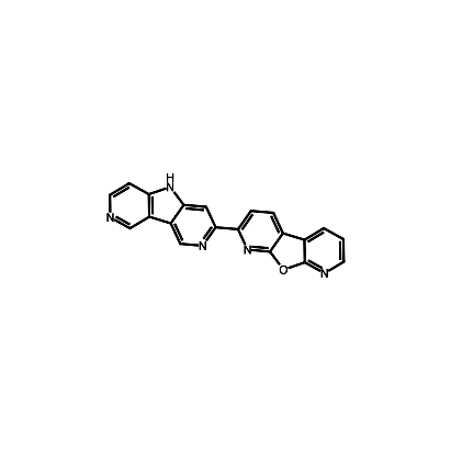 c1cnc2oc3nc(-c4cc5[nH]c6ccncc6c5cn4)ccc3c2c1